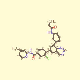 C=CC(=O)Nc1cccc(-c2cc(-c3ccc(C(=O)Nc4cc(C(F)(F)F)ccn4)cc3Cl)cc3cncnc23)c1